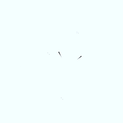 C=CC1C(C2[C@@H]([C@@H](C)C(C)C)/C(=C(\C)OC(=C)NC)c3c4c(C)csc4cc[n+]32)c2ccccc2-c2ccc(C)c[n+]21